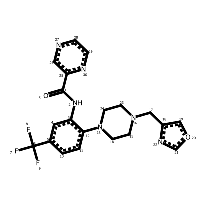 O=C(Nc1cc(C(F)(F)F)ccc1N1CCN(Cc2cocn2)CC1)c1cnccn1